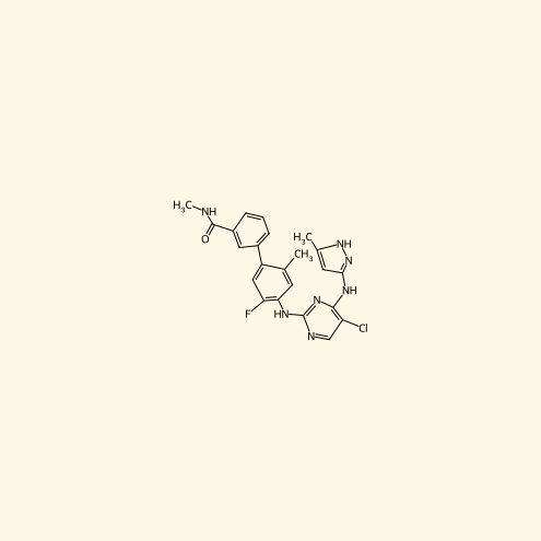 CNC(=O)c1cccc(-c2cc(F)c(Nc3ncc(Cl)c(Nc4cc(C)[nH]n4)n3)cc2C)c1